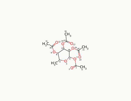 CC(=O)OC1OC(C)C(OC(C)=O)C(OC(C)=O)C1OC(C)=O